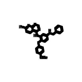 COc1ccc(Sc2ccc(NCc3ccccc3)cc2Nc2ncnc3nc(C(C)C)ccc23)cc1